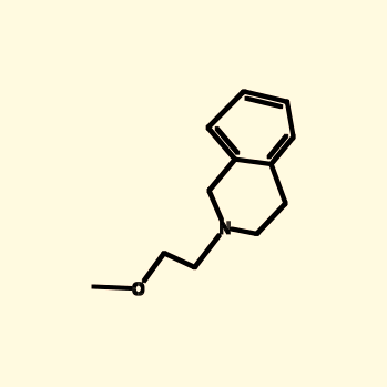 COCCN1CCc2ccccc2C1